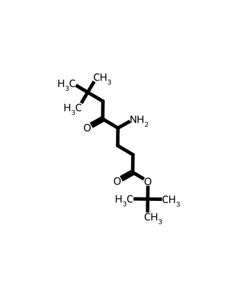 CC(C)(C)CC(=O)C(N)CCC(=O)OC(C)(C)C